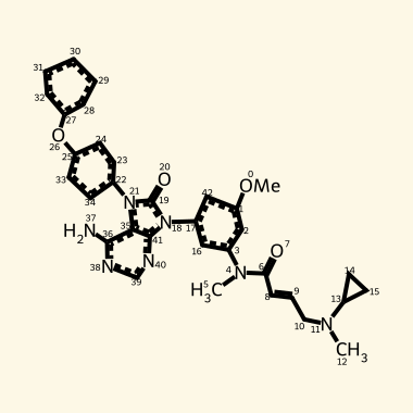 COc1cc(N(C)C(=O)C=CCN(C)C2CC2)cc(-n2c(=O)n(-c3ccc(Oc4ccccc4)cc3)c3c(N)ncnc32)c1